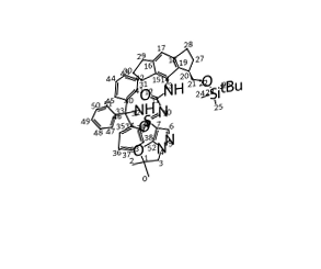 CC1(C)Cn2ncc(S(=O)(=NC(=O)Nc3c4c(cc5c3[C@H](CO[Si](C)(C)C(C)(C)C)CC5)CCC4)NC(c3ccccc3)(c3ccccc3)c3ccccc3)c2O1